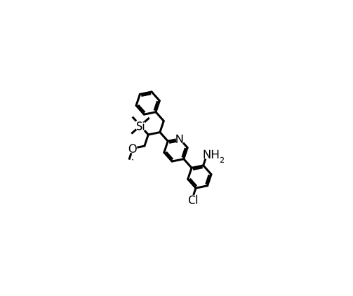 [CH2]OCC(C(Cc1ccccc1)c1ccc(-c2cc(Cl)ccc2N)cn1)[Si](C)(C)C